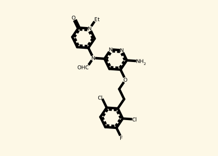 CCn1cc(N(C=O)c2cc(OCCc3c(Cl)ccc(F)c3Cl)c(N)nn2)ccc1=O